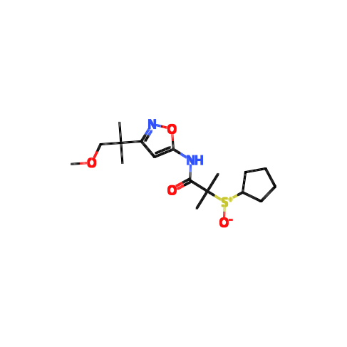 COCC(C)(C)c1cc(NC(=O)C(C)(C)[S+]([O-])C2CCCC2)on1